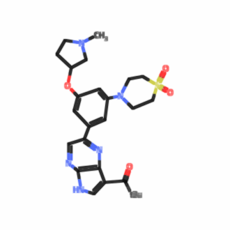 CN1CCC(Oc2cc(-c3cnc4[nH]cc(C(=O)C(C)(C)C)c4n3)cc(N3CCS(=O)(=O)CC3)c2)C1